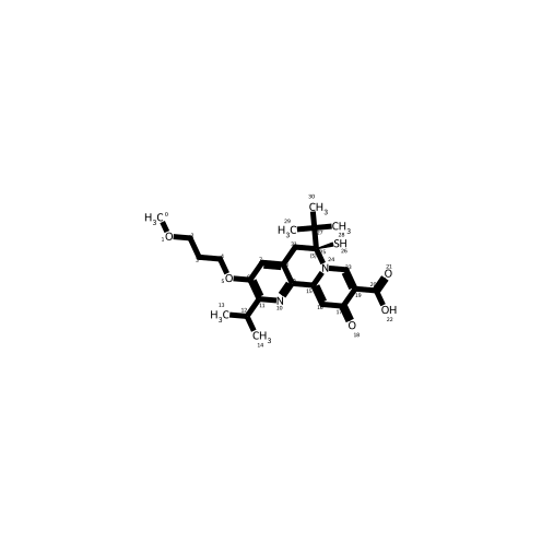 COCCCOc1cc2c(nc1C(C)C)-c1cc(=O)c(C(=O)O)cn1[C@@](S)(C(C)(C)C)C2